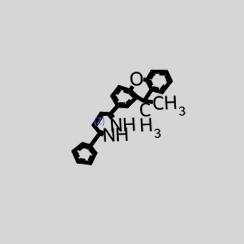 CC1(C)c2ccccc2Oc2ccc(C(=N)/C=C\C(=N)c3ccccc3)cc21